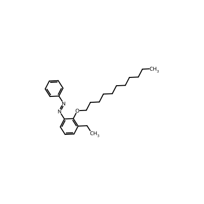 CCCCCCCCCCCOc1c(CC)cccc1N=Nc1ccccc1